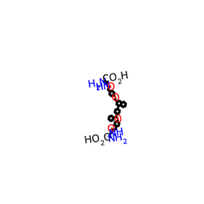 N[C@@H](CNC(=O)Cc1ccc(OCc2cc(-c3ccc(C(Oc4ccc(CC(=O)NC[C@H](N)C(=O)O)cc4)c4ccccc4)cc3)c3ccccc3c2)cc1)C(=O)O